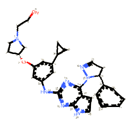 OCCN1CC[C@@H](Oc2cc(Nc3nc(N4N=CCC4c4ccccc4)c4cc[nH]c4n3)cc(C3CC3)c2)C1